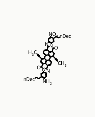 CC#Cc1cc2c(=O)n3c4cc(CCCCCCCCCCCC)c(N)cc4nc3c3ccc4c5c(C#CC)cc6c(=O)n7c8cc(CCCCCCCCCCCC)c([N+](=O)[O-])cc8nc7c7ccc(c1c4c23)c5c67